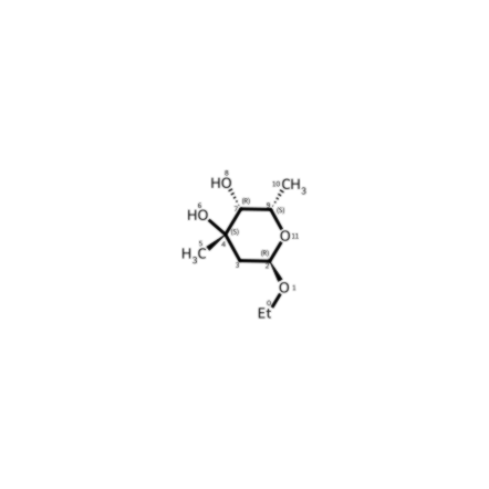 CCO[C@H]1C[C@](C)(O)[C@H](O)[C@H](C)O1